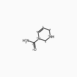 NC(=O)N1C=CCNC1